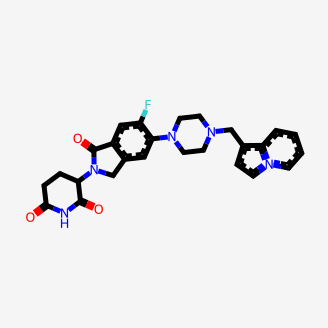 O=C1CCC(N2Cc3cc(N4CCN(Cc5ccn6ccccc56)CC4)c(F)cc3C2=O)C(=O)N1